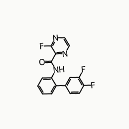 O=C(Nc1ccccc1-c1ccc(F)c(F)c1)c1nccnc1F